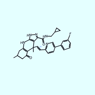 CC1CC(=O)C2=C(C1)Nc1[nH]nc(C(=O)NCC3CC3)c1C2(C)/C=C/c1ccc(-c2cccc(F)c2)cn1